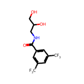 O=C(NCC(O)CO)c1cc(C(F)(F)F)cc(C(F)(F)F)c1